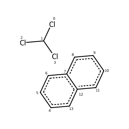 ClC(Cl)Cl.c1ccc2ccccc2c1